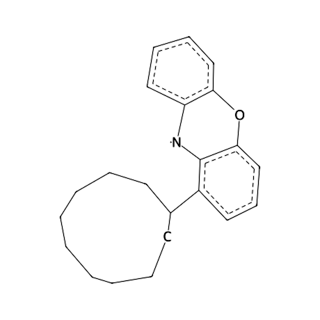 c1ccc2c(c1)[N]c1c(cccc1C1CCCCCCCCC1)O2